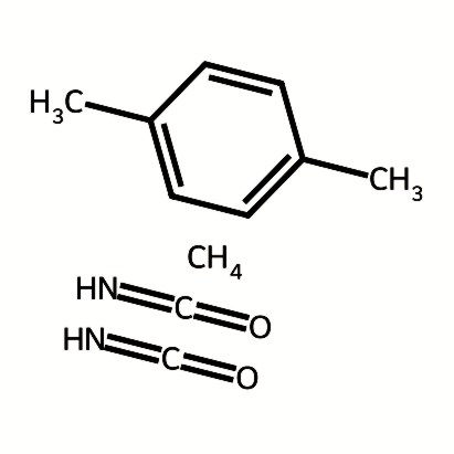 C.Cc1ccc(C)cc1.N=C=O.N=C=O